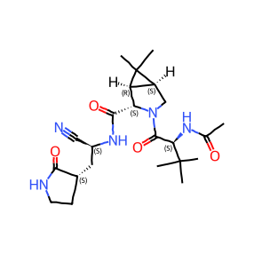 CC(=O)N[C@H](C(=O)N1C[C@H]2[C@@H]([C@H]1C(=O)N[C@H](C#N)C[C@@H]1CCNC1=O)C2(C)C)C(C)(C)C